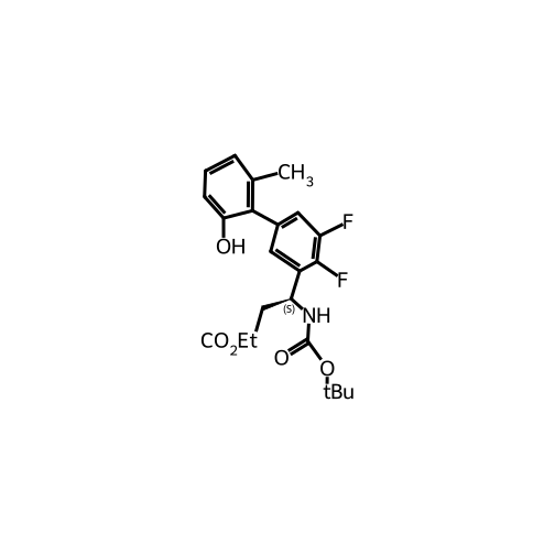 CCOC(=O)C[C@H](NC(=O)OC(C)(C)C)c1cc(-c2c(C)cccc2O)cc(F)c1F